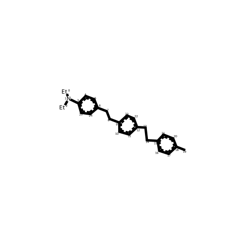 CCN(CC)c1ccc(CCc2ccc(CCc3ccc(C)cc3)cc2)cc1